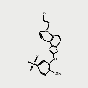 COc1ccc(S(C)(=O)=O)cc1Nc1nc2c(ccc3c2cnn3CCC(C)C)s1